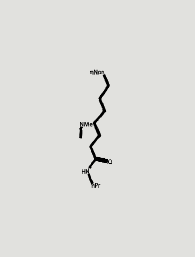 CCCCCCCCCCCCCCCC(=O)NCCC.CNC